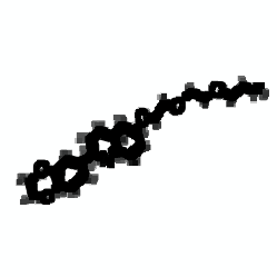 FCCOCCOCCOc1ccc2nc(-c3ccc4c(c3)OCCO4)ccc2c1